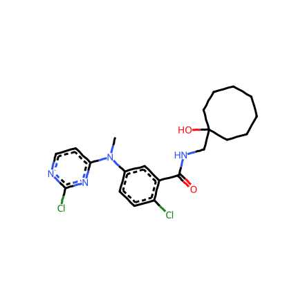 CN(c1ccc(Cl)c(C(=O)NCC2(O)CCCCCCC2)c1)c1ccnc(Cl)n1